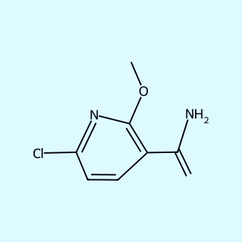 C=C(N)c1ccc(Cl)nc1OC